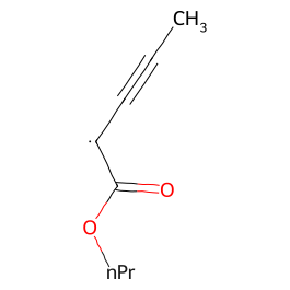 CC#C[CH]C(=O)OCCC